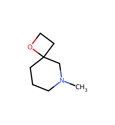 CN1CCCC2(CCO2)C1